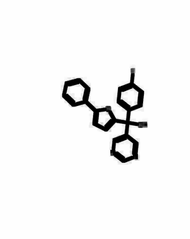 OC(c1ccc(F)cc1)(c1cncnc1)c1ccc(-c2ccccc2)o1